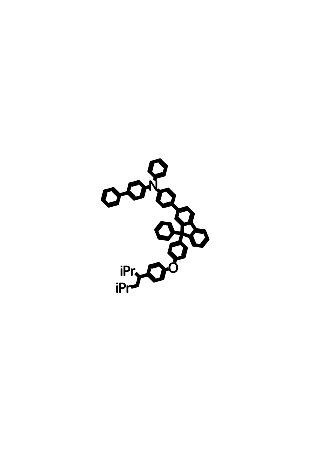 CC(C)CC(c1ccc(Oc2ccc(C3(c4ccccc4)c4ccccc4-c4ccc(-c5ccc(N(c6ccccc6)c6ccc(-c7ccccc7)cc6)cc5)cc43)cc2)cc1)C(C)C